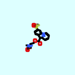 C[S+]([O-])c1ccc2c(C(=O)OCC[N+](C)(C)[O-])c3ccccn3c2c1